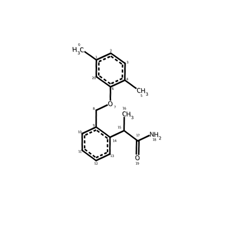 Cc1ccc(C)c(OCc2ccccc2C(C)C(N)=O)c1